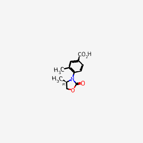 Cc1cc(C(=O)O)ccc1N1C(=O)OC[C@H]1C